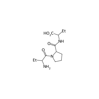 CCC(N)C(=O)N1CCCC1C(=O)NC(CC)C(=O)O